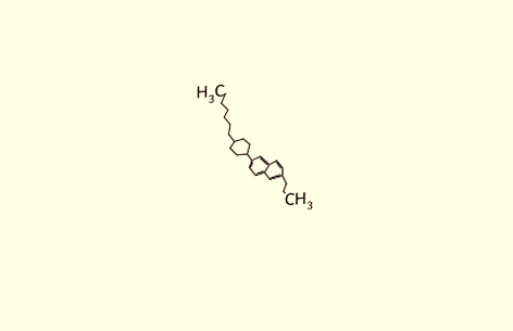 CCCCCCCC1CCC(c2ccc3cc(CCC)ccc3c2)CC1